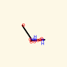 CCCNC(=O)COCCOCCNC(=O)CC[C@@H](NC(=O)CCCCCCCCCCCCCCCCCCC(C)=O)C(C)=O